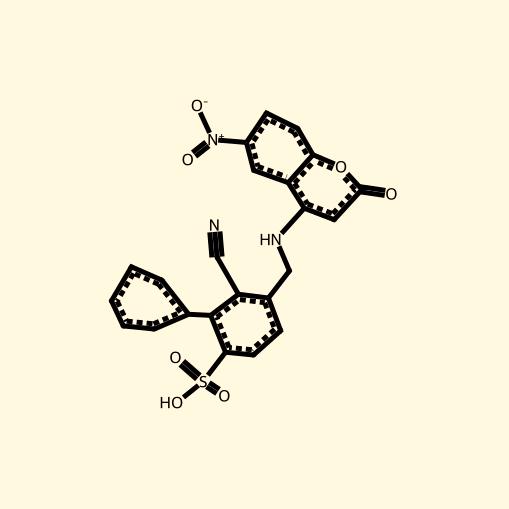 N#Cc1c(CNc2cc(=O)oc3ccc([N+](=O)[O-])cc23)ccc(S(=O)(=O)O)c1-c1ccccc1